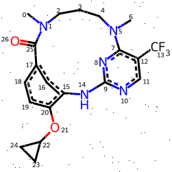 CN1CCCN(C)c2nc(ncc2C(F)(F)F)Nc2cc(ccc2OC2CC2)C1=O